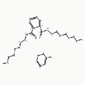 CC1=CC=CCC1.CCCCCCCCOC(=O)c1ccccc1C(=O)OCCCCCCCC